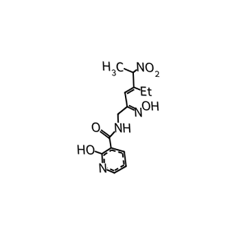 CCC(=CC(CNC(=O)c1cccnc1O)=NO)C(C)[N+](=O)[O-]